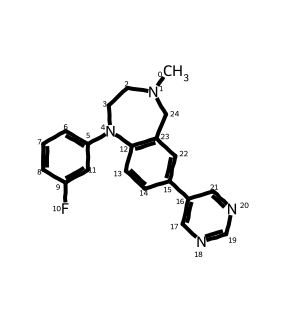 CN1CCN(c2cccc(F)c2)c2ccc(-c3cncnc3)cc2C1